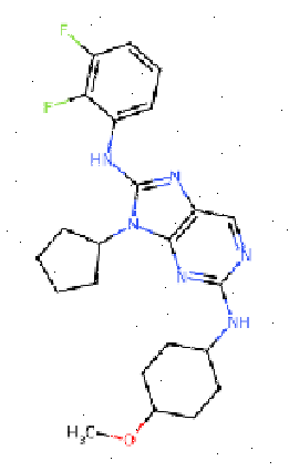 COC1CCC(Nc2ncc3nc(Nc4cccc(F)c4F)n(C4CCCC4)c3n2)CC1